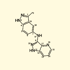 Cc1n[nH]c2ccc(Nc3n[nH]c4cccnc34)cc12